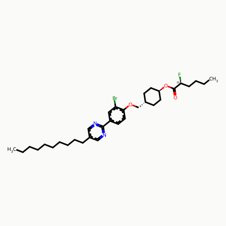 CCCCCCCCCCc1cnc(-c2ccc(OC[C@H]3CC[C@H](OC(=O)[C@@H](F)CCCC)CC3)c(Br)c2)nc1